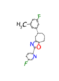 Cc1cc(F)cc(C2CCCc3oc(-c4ccc(F)cn4)nc3C2)c1